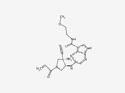 C=CC(=O)N1C[C@H](Nc2cnc3[nH]cc(C(=O)NCCOC)c3n2)[C@](N)(C#N)C1